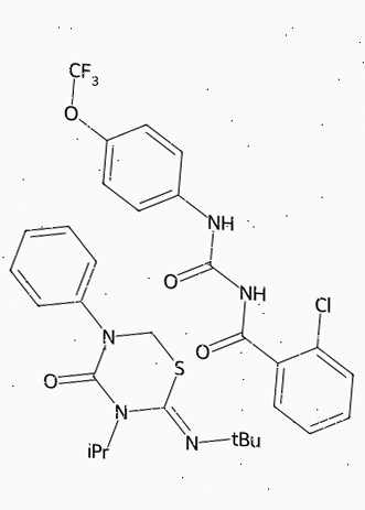 CC(C)N1C(=O)N(c2ccccc2)CS/C1=N\C(C)(C)C.O=C(NC(=O)c1ccccc1Cl)Nc1ccc(OC(F)(F)F)cc1